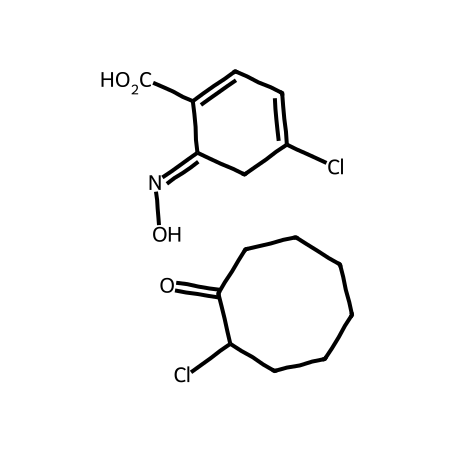 O=C(O)C1=CC=C(Cl)CC1=NO.O=C1CCCCCCC1Cl